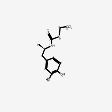 C[C@H](Cc1ccc(O)c(O)c1)NC(=O)OCC(Cl)(Cl)Cl